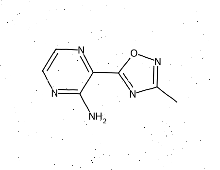 Cc1noc(-c2nccnc2N)n1